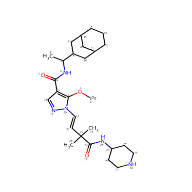 CC(C)Oc1c(C(=O)NC(C)C2CC3CCCC(C3)C2)cnn1/C=C/C(C)(C)C(=O)NC1CCNCC1